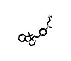 CN(CCS)c1ccc(/C=C/C23OCCN2C2=C(C=CCC2)C3(C)C)cc1